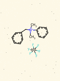 C[N+](C)(Cc1ccccc1)c1ccccc1.F[As-](F)(F)(F)(F)F